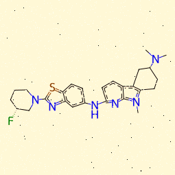 CN(C)C1CCc2c(c3ccc(Nc4ccc5sc(N6CCC[C@@H](F)C6)nc5c4)nc3n2C)C1